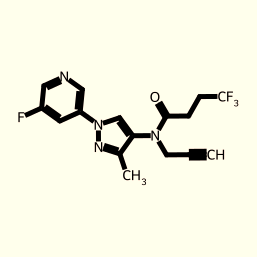 C#CCN(C(=O)CCC(F)(F)F)c1cn(-c2cncc(F)c2)nc1C